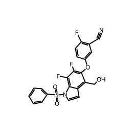 N#Cc1cc(Oc2c(F)c(F)c3c(ccn3S(=O)(=O)c3ccccc3)c2CO)ccc1F